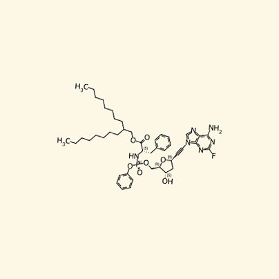 CCCCCCCCC(CCCCCCCC)COC(=O)[C@H](Cc1ccccc1)N[P@](=O)(OC[C@H]1O[C@@H](C#Cn2cnc3c(N)nc(F)nc32)C[C@@H]1O)Oc1ccccc1